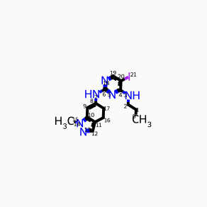 CCCNc1nc(NC2=Cc3c(cnn3C)CC2)ncc1I